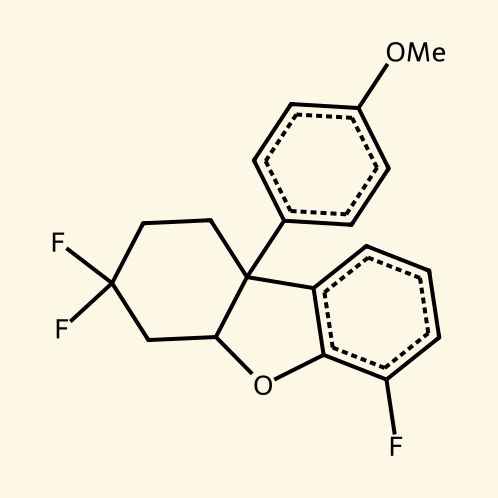 COc1ccc(C23CCC(F)(F)CC2Oc2c(F)cccc23)cc1